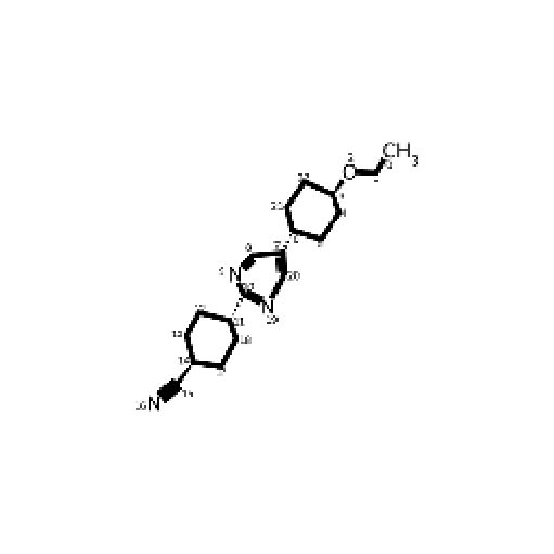 CCO[C@H]1CC[C@H](c2cnc([C@H]3CC[C@H](C#N)CC3)nc2)CC1